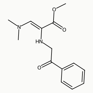 COC(=O)/C(=C/N(C)C)NCC(=O)c1ccccc1